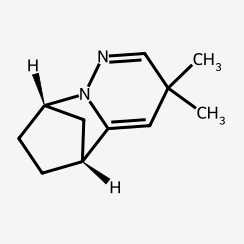 CC1(C)C=NN2C(=C1)[C@@H]1CC[C@H]2C1